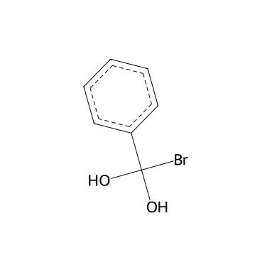 OC(O)(Br)c1ccccc1